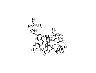 C=CC1C[C@]1(NC(=O)[C@@H]1C[C@@H](Oc2cc(-c3csc(NC(C)C)n3)nc3c(Cl)c(OC)ccc23)CN1C(=O)[C@@H](NC(=O)O[C@H]1C[C@H]2CC[C@@H](C1)O2)C(C)(C)C)C(=O)O